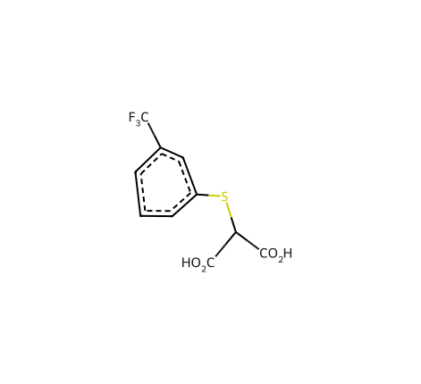 O=C(O)C(Sc1cccc(C(F)(F)F)c1)C(=O)O